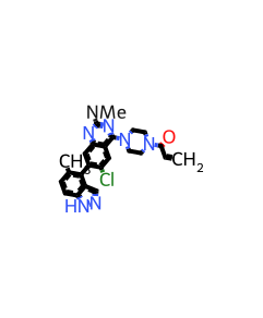 C=CC(=O)N1CCN(c2nc(NC)nc3cc(-c4c(C)ccc5[nH]ncc45)c(Cl)cc23)CC1